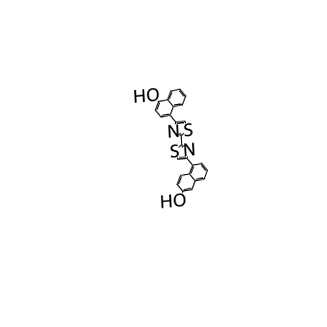 Oc1ccc2c(-c3csc(-c4nc(-c5ccc(O)c6ccccc56)cs4)n3)cccc2c1